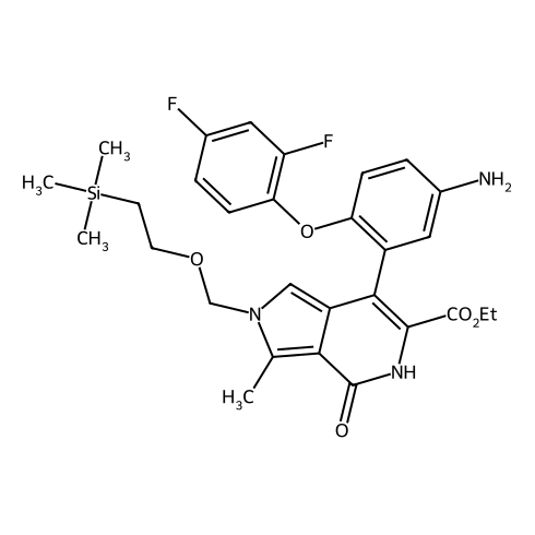 CCOC(=O)c1[nH]c(=O)c2c(C)n(COCC[Si](C)(C)C)cc2c1-c1cc(N)ccc1Oc1ccc(F)cc1F